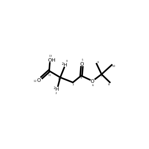 [2H]C([2H])(CC(=O)OC(C)(C)C)C(=O)O